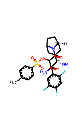 Cc1ccc(S(=O)(=O)OC(C(N)=O)C(=O)N2C3CC[C@H]2CC([C@H](N)Cc2cc(F)c(F)cc2F)C3)cc1